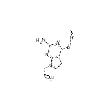 [N-]=[N+]=Nc1nc(N)nc2c1ccn2CC(=O)O